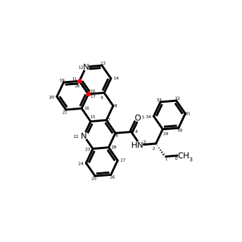 CC[C@H](NC(=O)c1c(Cc2ccncc2)c(-c2ccccc2)nc2ccccc12)c1ccccc1